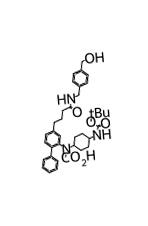 CC(C)(C)OC(=O)NC1CCC(N(C(=O)O)c2cc(CCCC(=O)NCc3ccc(CO)cc3)ccc2-c2ccccc2)CC1